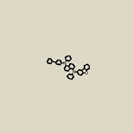 c1ccc(-c2ccc(N(c3ccccc3)c3cccc4c(N(c5ccccc5)c5ccc6oc7ccccc7c6c5)cccc34)cc2)cc1